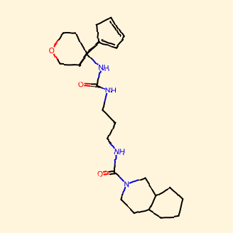 O=C(NCCCNC(=O)N1CCC2CCCCC2C1)NC1(C2=CC=CC2)CCOCC1